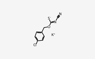 N#CN=C([S-])OCc1ccc(Cl)cc1.[K+]